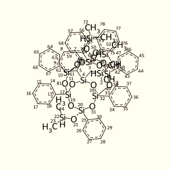 C[SiH](C)C[Si]1(c2ccccc2)O[Si]2(c3ccccc3)O[Si](O[SiH](C)C)(c3ccccc3)O[Si](c3ccccc3)(O1)O[Si]1(c3ccccc3)O[Si](O[SiH](C)C)(c3ccccc3)O[Si](c3ccccc3)(O[Si](O[SiH](C)C)(c3ccccc3)O1)O2